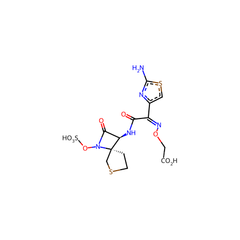 Nc1nc(C(=NOCC(=O)O)C(=O)N[C@@H]2C(=O)N(OS(=O)(=O)O)[C@@]23CCSC3)cs1